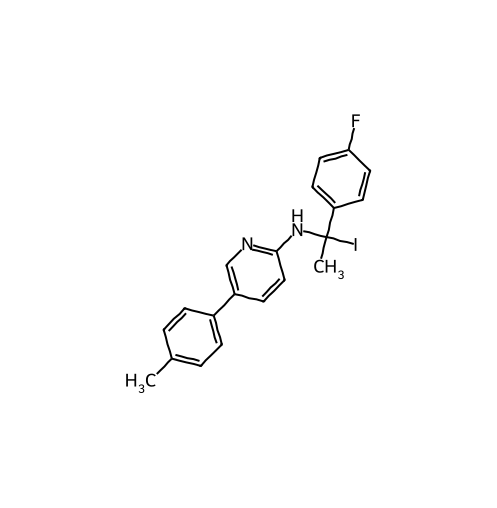 Cc1ccc(-c2ccc(NC(C)(I)c3ccc(F)cc3)nc2)cc1